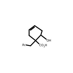 CC(=O)CC1(C(=O)O)CC=CCC1O